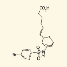 O=C(O)CCCC=CC1CC2CCC1C(NS(=O)(=O)c1ccc(Br)cc1)C2